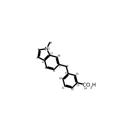 Cn1ccc2ccc(Cc3cccc(C(=O)O)c3)cc21